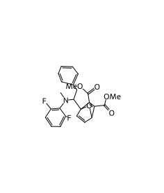 COC(=O)C1=C(C(=O)OC)C2(C(Cc3ccccc3)N(C)c3c(F)cccc3F)C=CC1O2